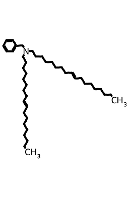 CCCCCCCCC=CCCCCCCCCN(CCCCCCCCC=CCCCCCCCC)Cc1ccccc1